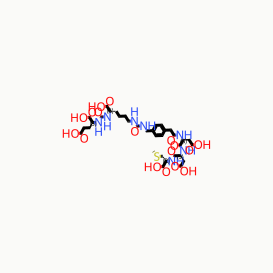 CSC[C@H](NC(=O)[C@H](CC(=O)O)NC(=O)[C@H](CC(=O)O)NC(=O)Cc1ccc(CNC(=O)NCCCC[C@H](NC(=O)N[C@@H](CCC(=O)O)C(=O)O)C(=O)O)cc1)C(=O)O